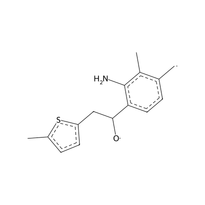 [CH2]c1ccc(C([O])Cc2ccc(C)s2)c(N)c1C